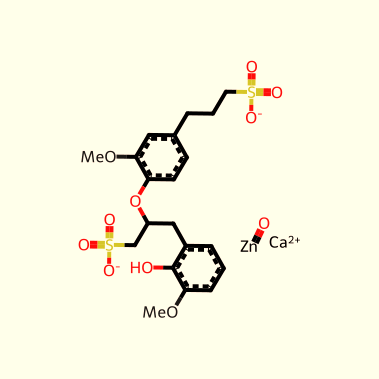 COc1cc(CCCS(=O)(=O)[O-])ccc1OC(Cc1cccc(OC)c1O)CS(=O)(=O)[O-].[Ca+2].[O]=[Zn]